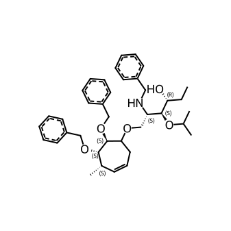 CC[C@@H](O)[C@@H](OC(C)C)[C@H](COC1CC=C[C@H](C)[C@H](OCc2ccccc2)[C@H]1OCc1ccccc1)NCc1ccccc1